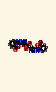 O=C(C(=O)c1cc(-c2nc3ccccc3c(=O)o2)[nH]n1)c1cc(-c2nc3ccccc3c(=O)o2)[nH]n1